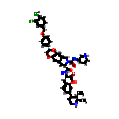 Cc1nccc(-c2ccc(C[C@H](NC(=O)[C@@H]3Cc4cc5c(cc4CN3C(=O)Nc3cccnc3)O[C@@H](c3ccc(OCc4ccc(Cl)c(Cl)c4)cc3)CO5)C(=O)O)cc2)c1C